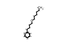 [CH2]CCCCCOCCCCc1ccccn1